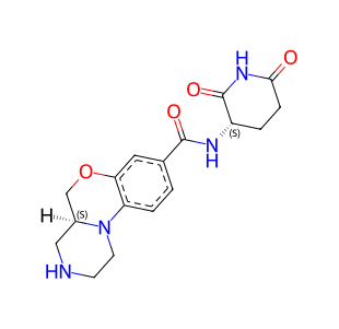 O=C1CC[C@H](NC(=O)c2ccc3c(c2)OC[C@@H]2CNCCN32)C(=O)N1